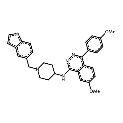 COc1ccc(-c2nnc(NC3CCN(Cc4ccc5sccc5c4)CC3)c3cc(OC)ccc23)cc1